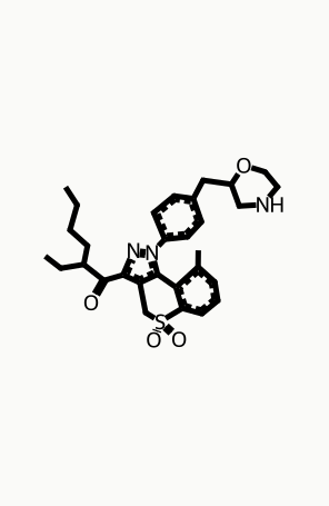 CCCCC(CC)C(=O)c1nn(-c2ccc(CC3CNCCO3)cc2)c2c1CS(=O)(=O)c1cccc(C)c1-2